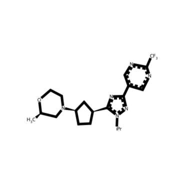 CC(C)n1nc(-c2cnc(C(F)(F)F)nc2)nc1[C@H]1CC[C@@H](N2CCO[C@H](C)C2)C1